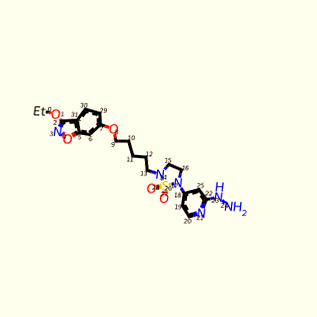 CCOc1noc2cc(OCCCCCN3CCN(c4ccnc(NN)c4)S3(=O)=O)ccc12